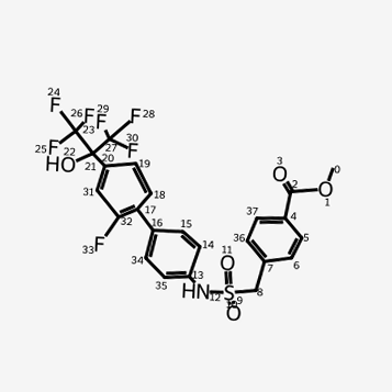 COC(=O)c1ccc(CS(=O)(=O)Nc2ccc(-c3ccc(C(O)(C(F)(F)F)C(F)(F)F)cc3F)cc2)cc1